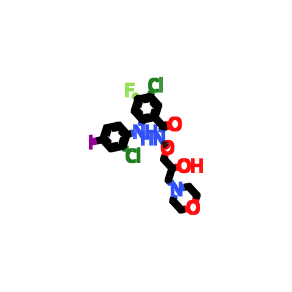 O=C(NOCC(O)CN1CCOCC1)c1cc(Cl)c(F)cc1Nc1ccc(I)cc1Cl